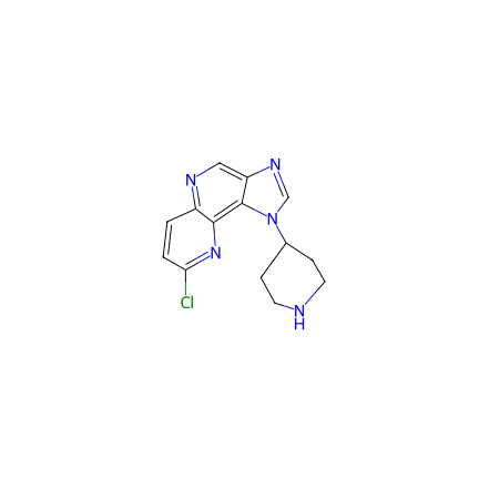 Clc1ccc2ncc3ncn(C4CCNCC4)c3c2n1